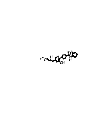 CC(C)OCCNCc1cnc(-c2ccc(C(=O)Nc3ccccc3N)cc2)c(C#N)c1